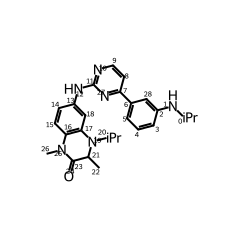 CC(C)Nc1cccc(-c2ccnc(Nc3ccc4c(c3)N(C(C)C)C(C)C(=O)N4C)n2)c1